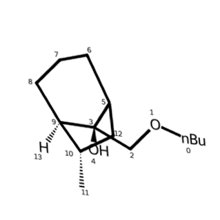 CCCCOC[C@@]1(O)C2CCC[C@@H]1[C@@H](C)C2